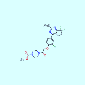 CSc1nc(-c2ccc(OCC(=O)N3CCN(C(=O)OC(C)(C)C)CC3)c(Cl)c2)c2c(n1)C(F)(F)CC2